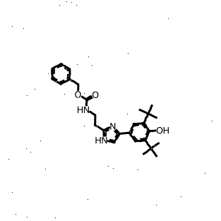 CC(C)(C)c1cc(-c2c[nH]c(CCNC(=O)OCc3ccccc3)n2)cc(C(C)(C)C)c1O